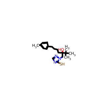 Cc1ccc(CCCCC(O)(Cn2ncnc2S)C(C)(C)C)cc1